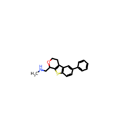 CNCC1OCCc2c1sc1ccc(-c3ccccc3)cc21